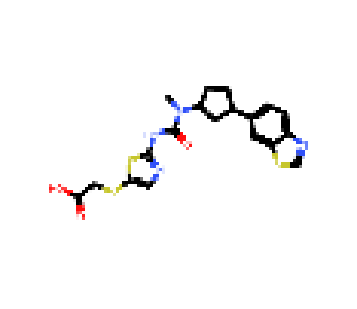 CN(C(=O)Nc1ncc(SCC(=O)O)s1)C1CCC(c2ccc3ncsc3c2)C1